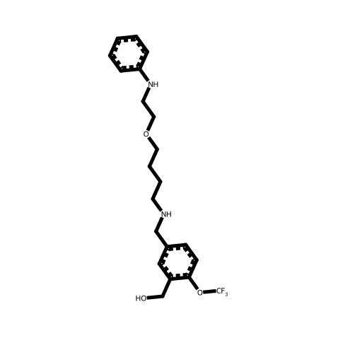 OCc1cc(CNCCCCOCCNc2ccccc2)ccc1OC(F)(F)F